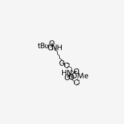 COC(=O)C(Cc1ccc(OCCCCCCNC(=O)OC(C)(C)C)cc1)NC(=O)OCc1ccccc1